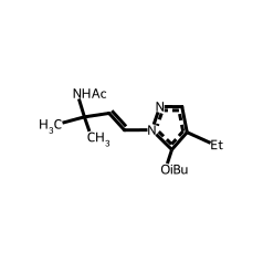 CCc1cnn(/C=C/C(C)(C)NC(C)=O)c1OCC(C)C